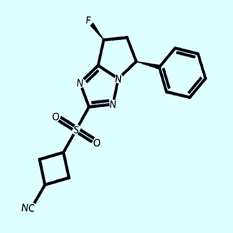 N#CC1CC(S(=O)(=O)c2nc3n(n2)[C@H](c2ccccc2)C[C@@H]3F)C1